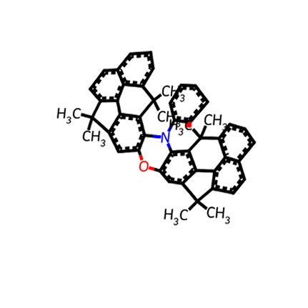 CC1(C)c2cc3c(c4c2-c2c1ccc1cccc(c21)C4(C)C)N(c1ccccc1)c1c(cc2c4c1C(C)(C)c1cccc5ccc(c-4c15)C2(C)C)O3